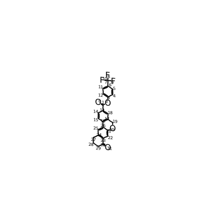 O=C(Oc1ccc(C(F)(F)F)cc1)c1ccc2c(c1)COc1cc3c(cc1-2)CCCC3=O